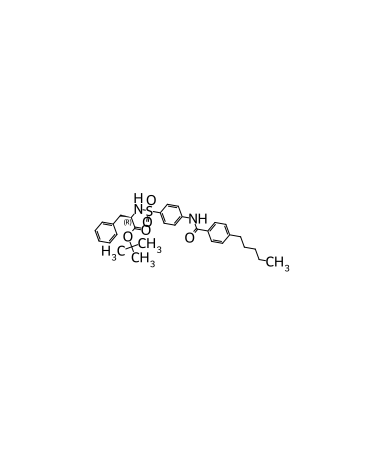 CCCCCc1ccc(C(=O)Nc2ccc(S(=O)(=O)N[C@H](Cc3ccccc3)C(=O)OC(C)(C)C)cc2)cc1